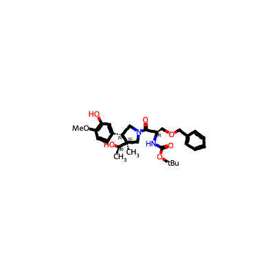 COc1ccc([C@@H]2CN(C(=O)[C@@H](COCc3ccccc3)NC(=O)OC(C)(C)C)C[C@@]2(C)[C@@H](C)O)cc1O